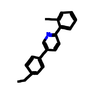 CCc1ccc(-c2ccc(-c3ccccc3C)nc2)cc1